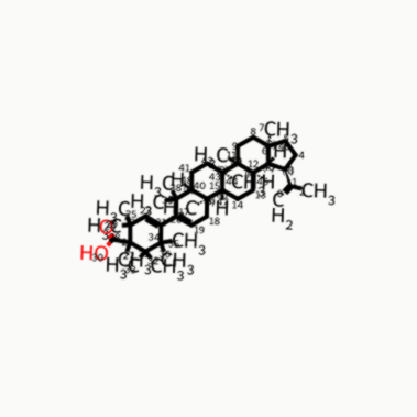 C=C(C)[C@@H]1CC[C@]2(C)CC[C@]3(C)[C@H](CC[C@@H]4[C@@]5(C)CC=C(C6=CC(C)(C)C(C)(C(=O)O)C(C)(C)C6(C)C)C(C)(C)[C@@H]5CC[C@]43C)[C@@H]12